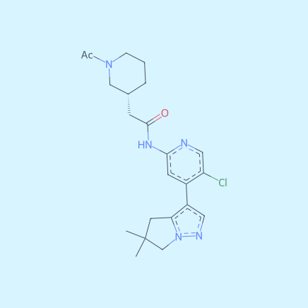 CC(=O)N1CCC[C@H](CC(=O)Nc2cc(-c3cnn4c3CC(C)(C)C4)c(Cl)cn2)C1